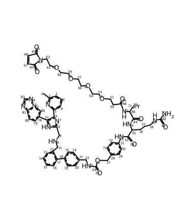 Cc1cccc(-c2nc(CNCc3ccccc3-c3ccc(CNC(=O)OCc4ccc(NC(=O)C(CCCNC(N)=O)NC(=O)C(NC(=O)CCOCCOCCOCCOCCN5C(=O)C=CC5=O)C(C)C)cc4)cc3)[nH]c2-c2ccc3ncnn3c2)n1